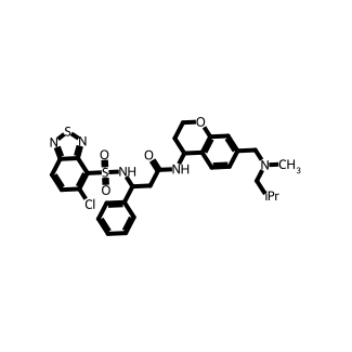 CC(C)CN(C)Cc1ccc2c(c1)OCCC2NC(=O)CC(NS(=O)(=O)c1c(Cl)ccc2nsnc12)c1ccccc1